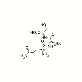 CC[C@H](C)[C@H](NC(=O)[C@@H](N)CCC(N)=O)C(=O)N[C@@H](CO)C(=O)O